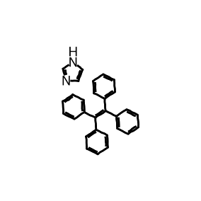 c1c[nH]cn1.c1ccc(C(=C(c2ccccc2)c2ccccc2)c2ccccc2)cc1